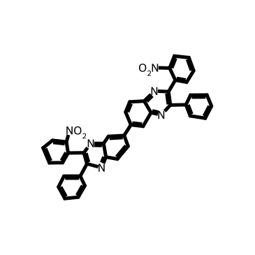 O=[N+]([O-])c1ccccc1-c1nc2ccc(-c3ccc4nc(-c5ccccc5)c(-c5ccccc5[N+](=O)[O-])nc4c3)cc2nc1-c1ccccc1